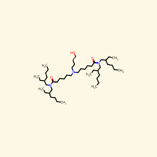 CCCCC(CC)CN(CC(CC)CCCC)C(=O)CCCCCN(CCCCO)CCCCCC(=O)N(CC(CC)CCCC)CC(CC)CCCC